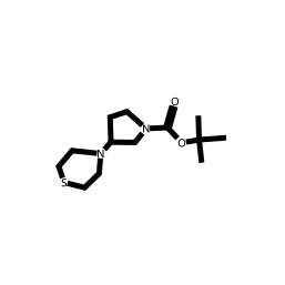 CC(C)(C)OC(=O)N1CCC(N2CCSCC2)C1